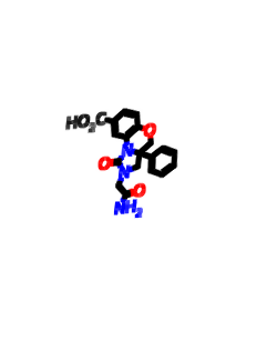 NC(=O)CN1CC2(c3ccccc3)COc3ccc(C(=O)O)cc3N2C1=O